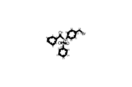 O=C(c1ccccc1)N(c1ccc(CBr)cc1)S(=O)(=O)c1ccccc1